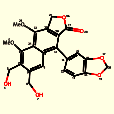 COc1c(CO)c(CO)cc2c(-c3ccc4c(c3)OCO4)c3c(c(OC)c12)COC3=O